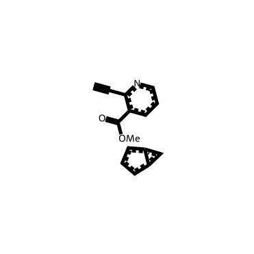 C#Cc1ncccc1C(=O)OC.c1cc2cc-2c1